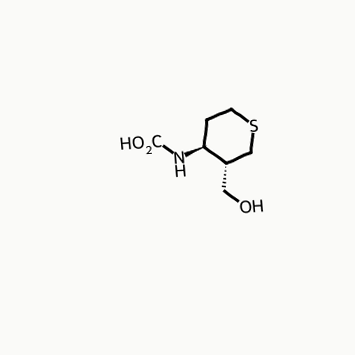 O=C(O)N[C@H]1CCSC[C@@H]1CO